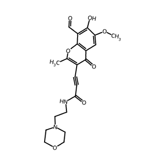 COc1cc2c(=O)c(C#CC(=O)NCCN3CCOCC3)c(C)oc2c(C=O)c1O